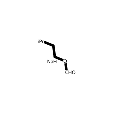 CC(C)CCOC=O.[NaH]